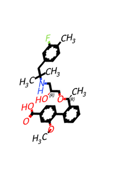 COc1cc(C(=O)O)ccc1-c1ccccc1[C@@H](C)OC[C@H](O)CNC(C)(C)Cc1ccc(C)c(F)c1